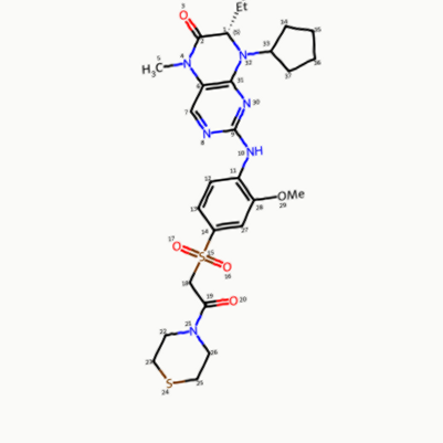 CC[C@H]1C(=O)N(C)c2cnc(Nc3ccc(S(=O)(=O)CC(=O)N4CCSCC4)cc3OC)nc2N1C1CCCC1